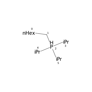 CCCCCCC[PH](C(C)C)(C(C)C)C(C)C